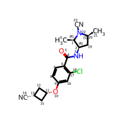 C[C@@H]1[C@H](NC(=O)c2ccc(O[C@H]3C[C@@H](C#N)C3)cc2Cl)C[C@H](C)N1C#N